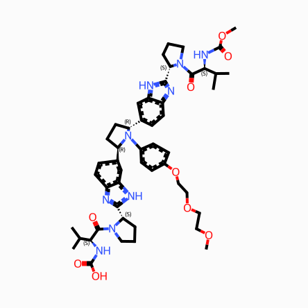 COCCOCCOc1ccc(N2[C@@H](c3ccc4nc([C@@H]5CCCN5C(=O)[C@@H](NC(=O)O)C(C)C)[nH]c4c3)CC[C@@H]2c2ccc3nc([C@@H]4CCCN4C(=O)[C@@H](NC(=O)OC)C(C)C)[nH]c3c2)cc1